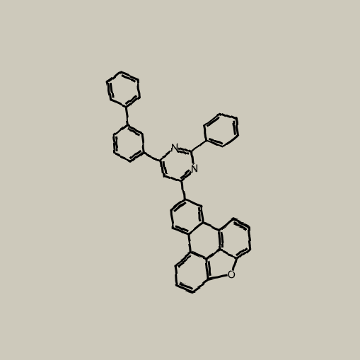 c1ccc(-c2cccc(-c3cc(-c4ccc5c(c4)c4cccc6oc7cccc5c7c64)nc(-c4ccccc4)n3)c2)cc1